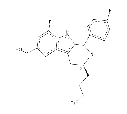 CCCC[C@H]1Cc2c([nH]c3c(F)cc(CO)cc23)C(c2ccc(F)cc2)N1